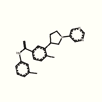 C=C(Nc1cccc(C)c1)c1ccc(C)c(C2CCN(c3cncnc3)C2)c1